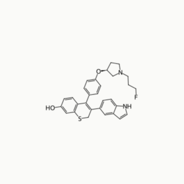 Oc1ccc2c(c1)SCC(c1ccc3[nH]ccc3c1)=C2c1ccc(O[C@H]2CCN(CCCF)C2)cc1